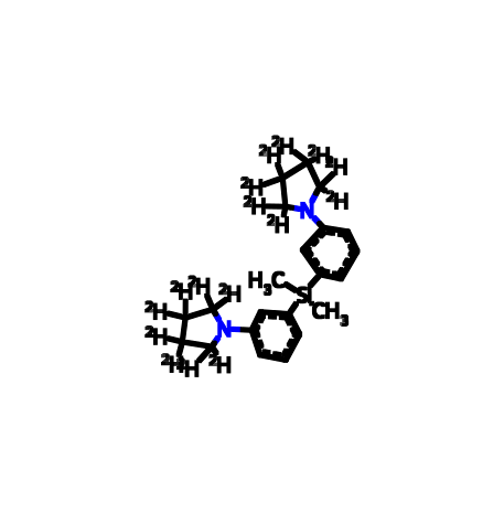 [2H]C1([2H])N(c2cccc([Si](C)(C)c3cccc(N4C([2H])([2H])C([2H])([2H])C([2H])([2H])C4([2H])[2H])c3)c2)C([2H])([2H])C([2H])([2H])C1([2H])[2H]